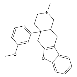 COc1cccc(C23CCN(C)CC2Cc2c(oc4ccccc24)C3)c1